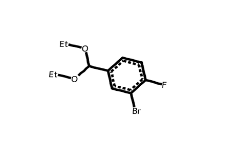 CCOC(OCC)c1ccc(F)c(Br)c1